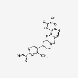 CC[C@@H]1Oc2ncc(CN3CCN(c4cnc(C(=O)NC)nc4C)CC3)c(F)c2NC1=O